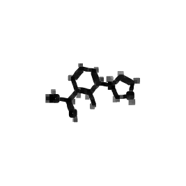 Cc1c(C(=O)O)cccc1N1C=COC1